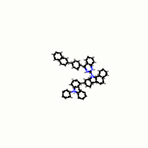 c1ccc(-n2c3ccccc3c3c(-c4ccc5c6ccc7ccccc7c6n(-c6nc(-c7ccc(-c8ccc9ccccc9c8)cc7)c7ccccc7n6)c5c4)cccc32)cc1